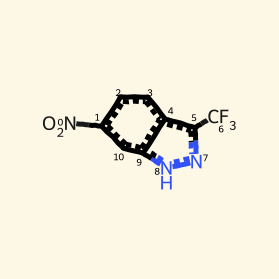 O=[N+]([O-])c1ccc2c(C(F)(F)F)n[nH]c2c1